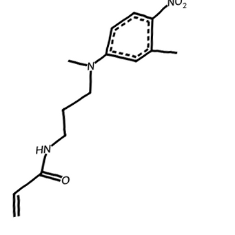 C=CC(=O)NCCCN(C)c1ccc([N+](=O)[O-])c(C)c1